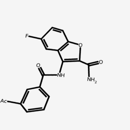 CC(=O)c1cccc(C(=O)Nc2c(C(N)=O)oc3ccc(F)cc23)c1